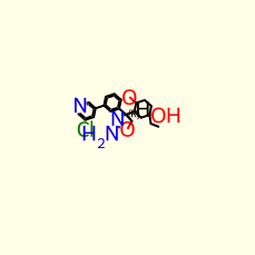 CCC1(O)CCC2Oc3ccc(-c4cncc(Cl)c4)cc3C3(COC(N)=N3)[C@H]2C1